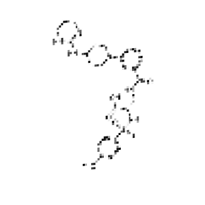 COc1ccc(S(=O)(=O)N[C@@H](CNC(=O)c2cccc(N3CCC(NC4=NCCCN4)CC3)c2)C(=O)O)cc1